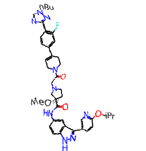 CCCCn1cnc(-c2ccc(C3=CCN(C(=O)CN4CC[C@@](OC)(C(=O)Nc5ccc6[nH]nc(-c7ccc(OC(C)C)nc7)c6c5)C4)CC3)cc2F)n1